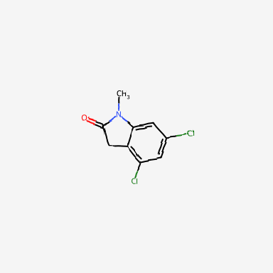 CN1C(=O)Cc2c(Cl)cc(Cl)cc21